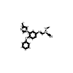 CSN(C#N)C=Nc1ccc(Oc2ccccc2)c(-n2cnc(C)c2)c1